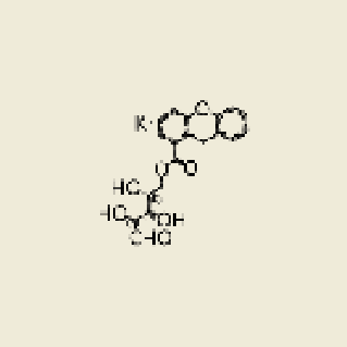 O=C[C@@H](O)[C@H](O)[C@H](O)COC(=O)c1cccc2c1Cc1ccccc1O2.[K]